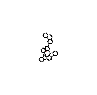 c1ccc(-n2c3ccccc3c3ccc4c5ccccc5n(-c5cccc(-c6ccc7ccc8ccccc8c7c6)c5)c4c32)cc1